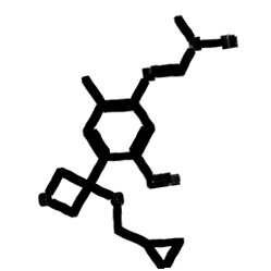 CCN(C)C=Nc1cc(OC)c(C2(OCC3CC3)COC2)cc1C